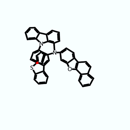 c1ccc(-n2c3ccccc3c3cccc(N(c4ccc5c(c4)oc4c6ccccc6ccc54)c4ccc5sc6ccccc6c5c4)c32)cc1